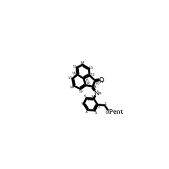 CCCC(C)Cc1ccccc1/N=C1/C(=O)c2cccc3cccc1c23